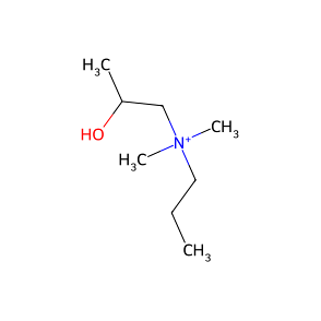 CCC[N+](C)(C)CC(C)O